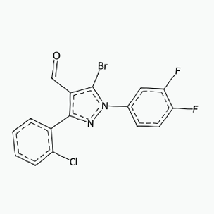 O=Cc1c(-c2ccccc2Cl)nn(-c2ccc(F)c(F)c2)c1Br